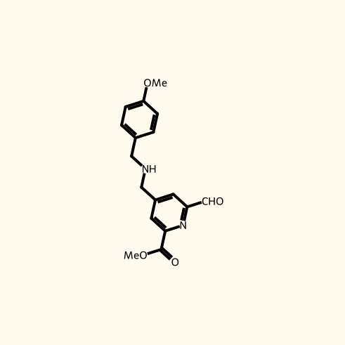 COC(=O)c1cc(CNCc2ccc(OC)cc2)cc(C=O)n1